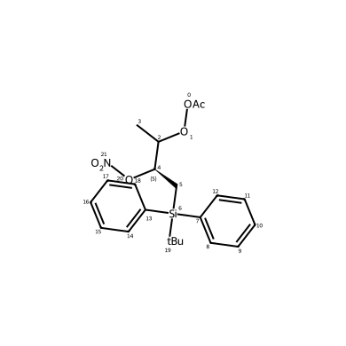 CC(=O)OOC(C)[C@@H](C[Si](c1ccccc1)(c1ccccc1)C(C)(C)C)O[N+](=O)[O-]